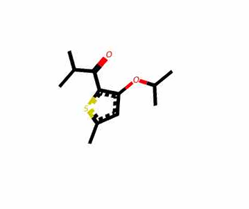 Cc1cc(OC(C)C)c(C(=O)C(C)C)s1